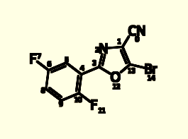 N#Cc1nc(-c2cc(F)ccc2F)oc1Br